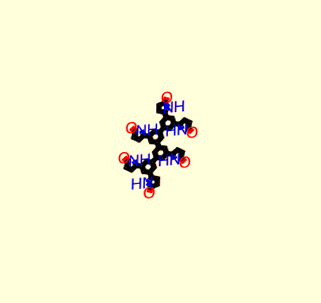 O=C1CCC(C2CC(C3CC(C4CC(C5CCC(=O)N5)CC(C5CCC(=O)N5)C4)CC(C4CCC(=O)N4)C3)CC(C3CC(C4CCC(=O)N4)CC(C4CCC(=O)N4)C3)C2)N1